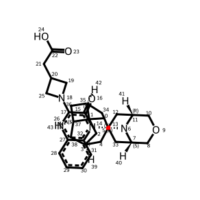 CC12C[C@H]3C[C@@H](N4[C@@H]5COC[C@H]4C[C@@H](n4c(=O)c(N6CC(CC(=O)O)C6)nc6ccccc64)C5)C[C@@H]1C[C@@H]2C3